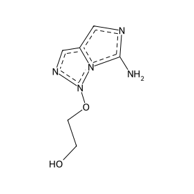 Nc1ncc2cnn(OCCO)n12